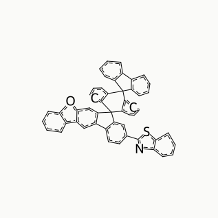 c1ccc2c(c1)-c1ccccc1C21c2ccccc2C2(c3cc(-c4nc5ccccc5s4)ccc3-c3cc4c(cc32)oc2ccccc24)c2ccccc21